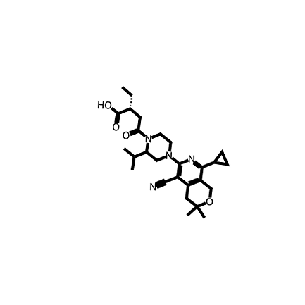 CC[C@H](CC(=O)N1CCN(c2nc(C3CC3)c3c(c2C#N)CC(C)(C)OC3)CC1C(C)C)C(=O)O